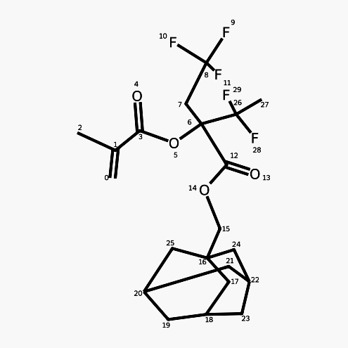 C=C(C)C(=O)OC(CC(F)(F)F)(C(=O)OCC12CC3CC(CC(C3)C1)C2)C(C)(F)F